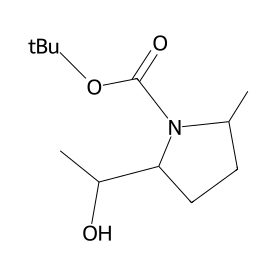 CC(O)C1CCC(C)N1C(=O)OC(C)(C)C